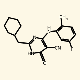 Cc1ccc(F)cc1Nc1nc(CC2CCCCC2)[nH]c(=O)c1C#N